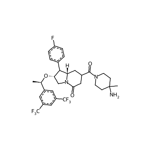 C[C@@H](O[C@H]1CN2C(=O)CC(C(=O)N3CCC(C)(N)CC3)C[C@H]2C1c1ccc(F)cc1)c1cc(C(F)(F)F)cc(C(F)(F)F)c1